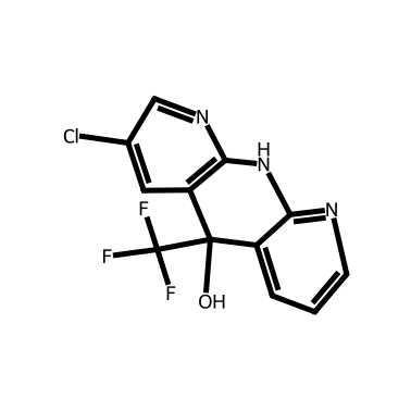 OC1(C(F)(F)F)c2cccnc2Nc2ncc(Cl)cc21